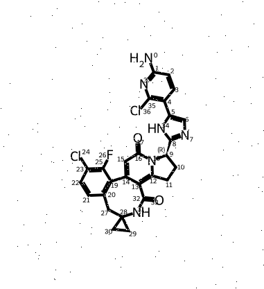 Nc1ccc(-c2cnc([C@H]3CCc4c5c(cc(=O)n43)-c3c(ccc(Cl)c3F)CC3(CC3)NC5=O)[nH]2)c(Cl)n1